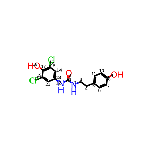 O=C(NCCc1ccc(O)cc1)Nc1cc(Cl)c(O)c(Cl)c1